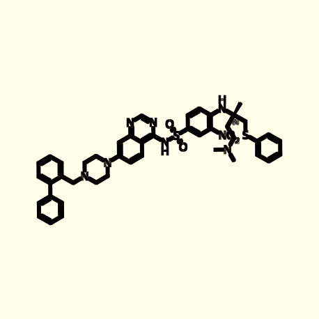 CN(C)CC[C@@](C)(CSc1ccccc1)Nc1ccc(S(=O)(=O)Nc2ncnc3cc(N4CCN(Cc5ccccc5-c5ccccc5)CC4)ccc23)cc1[N+](=O)[O-]